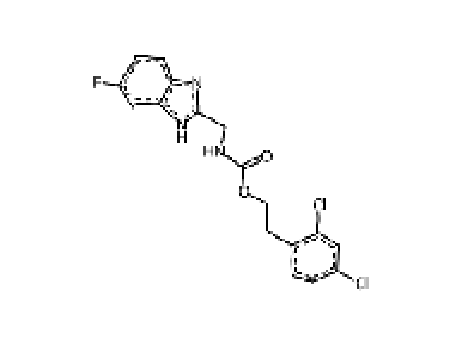 O=C(NCc1nc2ccc(F)nc2[nH]1)OCCc1ccc(Cl)cc1Cl